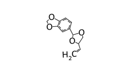 C=CC1COC(c2ccc3c(c2)OCO3)O1